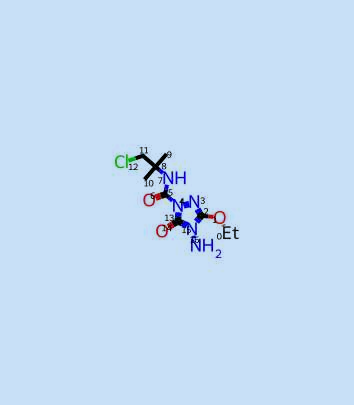 CCOc1nn(C(=O)NC(C)(C)CCl)c(=O)n1N